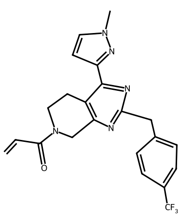 C=CC(=O)N1CCc2c(nc(Cc3ccc(C(F)(F)F)cc3)nc2-c2ccn(C)n2)C1